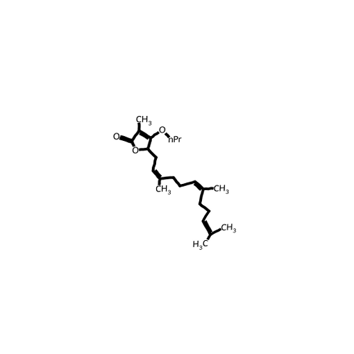 CCCOC1=C(C)C(=O)OC1CC=C(C)CCC=C(C)CCC=C(C)C